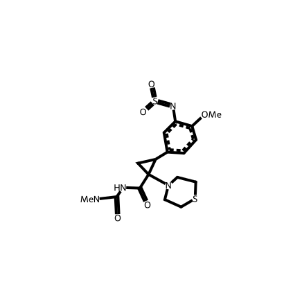 CNC(=O)NC(=O)C1(N2CCSCC2)CC1c1ccc(OC)c(N=S(=O)=O)c1